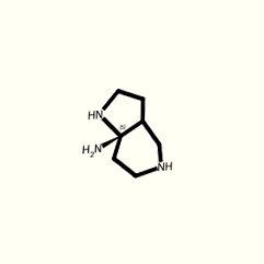 N[C@]12CCNCC1CCN2